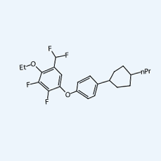 CCCC1CCC(c2ccc(Oc3cc(C(F)F)c(OCC)c(F)c3F)cc2)CC1